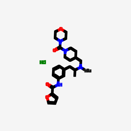 CCCCN(CC1CCN(C(=O)N2CCOCC2)CC1)C(C)Cc1cccc(NC(=O)c2ccco2)c1.Cl